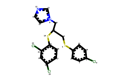 Clc1ccc(SCC(Cn2ccnc2)Sc2ccc(Cl)cc2Cl)cc1